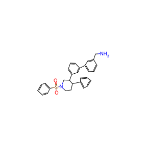 NCc1cccc(-c2cccc(C3CN(S(=O)(=O)c4ccccc4)CCC3c3ccccc3)c2)c1